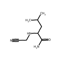 CC(C)CC(NCC#N)C(N)=O